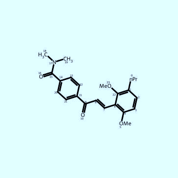 CCCc1ccc(OC)c(C=CC(=O)c2ccc(C(=O)N(C)C)cc2)c1OC